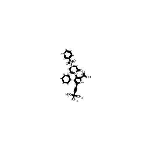 CC(C)(C)C#Cc1cc(N2C(=O)CN(S(=O)(=O)c3cccnc3)C[C@H]2C2CCCCC2)c(C(=O)O)s1